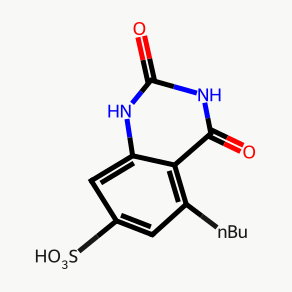 CCCCc1cc(S(=O)(=O)O)cc2[nH]c(=O)[nH]c(=O)c12